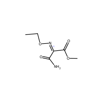 CCO/N=C(\C(N)=O)C(=O)OC